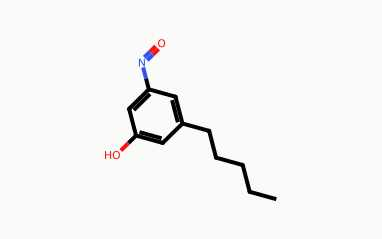 CCCCCc1cc(O)cc(N=O)c1